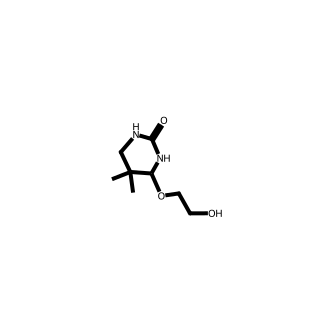 CC1(C)CNC(=O)NC1OCCO